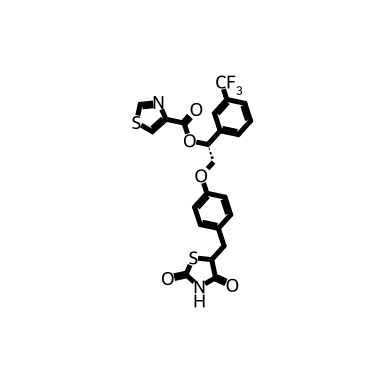 O=C1NC(=O)C(Cc2ccc(OC[C@H](OC(=O)c3cscn3)c3cccc(C(F)(F)F)c3)cc2)S1